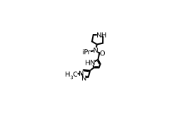 CC(C)N(C(=O)c1ccc(-c2cnn(C)c2)[nH]1)C1CCNCC1